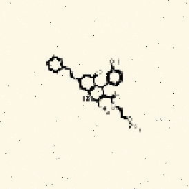 COCCOC(=O)C1=C(C)NC2=C(C(=O)CC(CCc3ccccc3)C2)C1c1cccc(O)c1